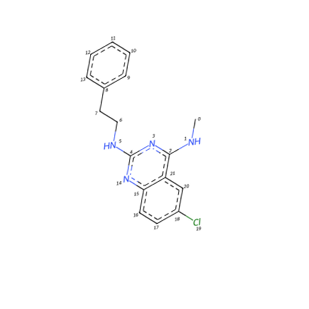 CNc1nc(NCCc2ccccc2)nc2ccc(Cl)cc12